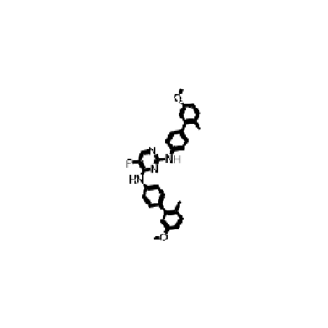 COc1ccc(C)c(-c2ccc(Nc3ncc(F)c(Nc4ccc(-c5cc(OC)ccc5C)cc4)n3)cc2)c1